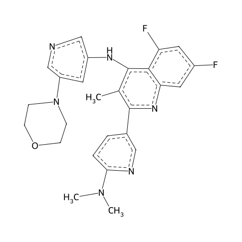 Cc1c(-c2ccc(N(C)C)nc2)nc2cc(F)cc(F)c2c1Nc1cncc(N2CCOCC2)c1